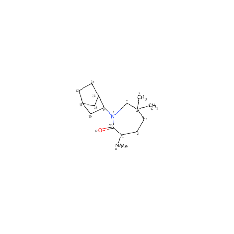 CNC1CCC(C)(C)CN(C2CC3CCC2C3)C1=O